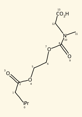 CC(C)CC(=O)OCCOC(=O)N(C)CC(=O)O